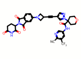 N#Cc1ncc(NC(=O)C2(n3cc(C#CC4CN(c5ccc6c(c5)C(=O)N(C5CCC(=O)NC5=O)C6=O)C4)cn3)CCOCC2)cc1C(F)(F)F